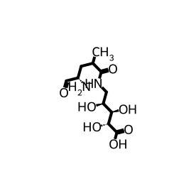 CC(C[C@H](N)C=O)C(=O)NC[C@H](O)[C@@H](O)[C@@H](O)C(=O)O